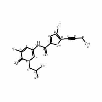 O=C(Nc1cc(F)c(=O)n(CC(F)F)c1)c1cc(Cl)c(C#CCO)s1